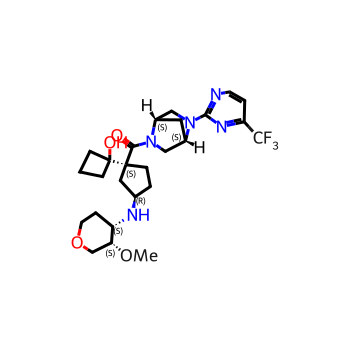 CO[C@@H]1COCC[C@@H]1N[C@@H]1CC[C@@](C(=O)N2C[C@@H]3C[C@H]2CN3c2nccc(C(F)(F)F)n2)(C2(O)CCC2)C1